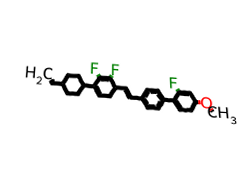 C=CC1CCC(C2=CCC(/C=C/c3ccc(C4=CCC(OC)C=C4F)cc3)C(F)=C2F)CC1